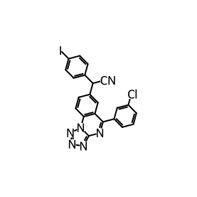 N#CC(c1ccc(I)cc1)c1ccc2c(c1)c(-c1cccc(Cl)c1)nc1nnnn12